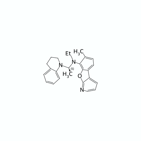 CCN(c1c(C)ccc2c1oc1ncccc12)[C@@H](C)N1CCCc2ccccc21